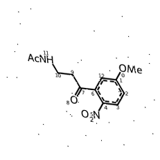 COc1ccc([N+](=O)[O-])c(C(=O)CCNC(C)=O)c1